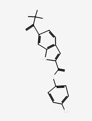 CC(C)(C)C(=O)c1ccc2cc(C(=O)Nc3ccc(N)cc3)[nH]c2c1